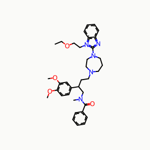 CCOCCn1c(N2CCCN(CCC(CN(C)C(=O)c3ccccc3)c3ccc(OC)c(OC)c3)CC2)nc2ccccc21